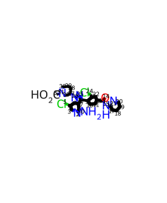 Nc1ncc(Cl)c2c1c(-c1ccc(C(=O)Nc3ccccn3)cc1Cl)nn2C1CCCN(C(=O)O)C1